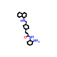 Nc1ccccc1NC(=O)/C=C/c1ccc(CNc2cccc3ccccc23)cc1